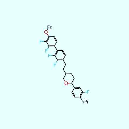 CCCc1ccc(C2CCC(CCc3ccc(-c4ccc(OCC)c(F)c4F)c(F)c3F)CO2)cc1F